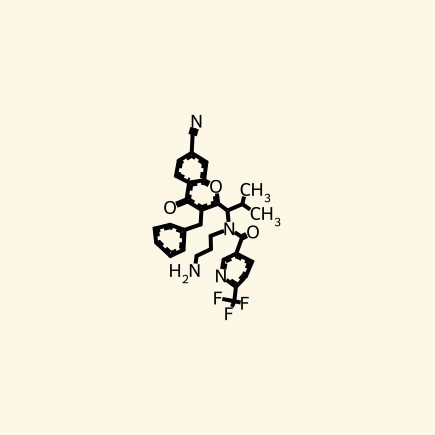 CC(C)C(c1oc2cc(C#N)ccc2c(=O)c1Cc1ccccc1)N(CCCN)C(=O)c1ccc(C(F)(F)F)nc1